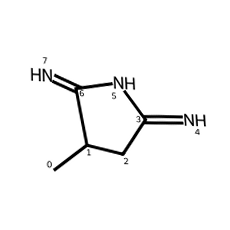 CC1CC(=N)NC1=N